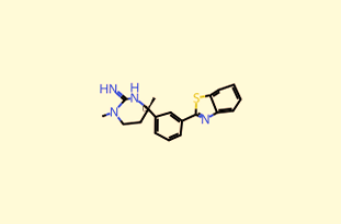 CN1CC[C@@](C)(c2cccc(-c3nc4ccccc4s3)c2)NC1=N